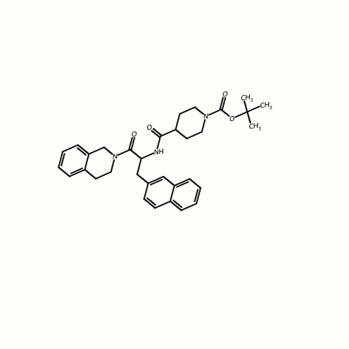 CC(C)(C)OC(=O)N1CCC(C(=O)NC(Cc2ccc3ccccc3c2)C(=O)N2CCc3ccccc3C2)CC1